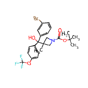 CC(C)(C)OC(=O)N1CC(C)(C(O)(c2ccc(OC(F)(F)F)cc2)c2cccc(Br)c2)C1